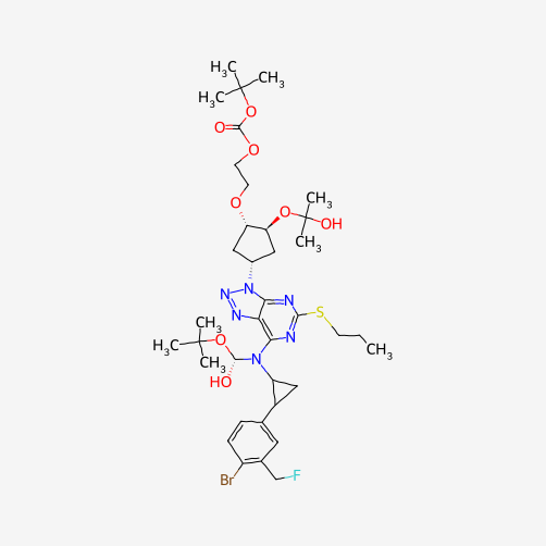 CCCSc1nc(N(C2CC2c2ccc(Br)c(CF)c2)[C@H](O)OC(C)(C)C)c2nnn([C@@H]3C[C@H](OCCOC(=O)OC(C)(C)C)[C@@H](OC(C)(C)O)C3)c2n1